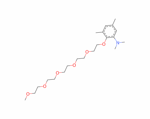 COCCOCCOCCOCCOCCOc1c(C)cc(C)cc1N(C)C